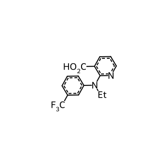 CCN(c1cccc(C(F)(F)F)c1)c1ncccc1C(=O)O